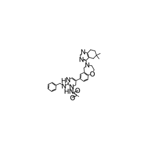 CC1(C)CCc2ncnc(N3CCOc4ccc(C5=CN=C(NCc6ccccc6)N(NS(C)(=O)=O)C5)cc4C3)c2C1